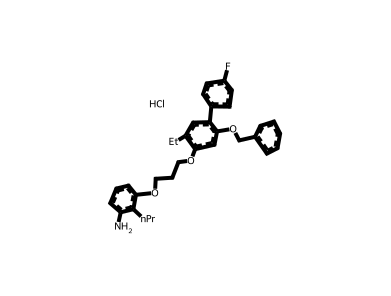 CCCc1c(N)cccc1OCCCOc1cc(OCc2ccccc2)c(-c2ccc(F)cc2)cc1CC.Cl